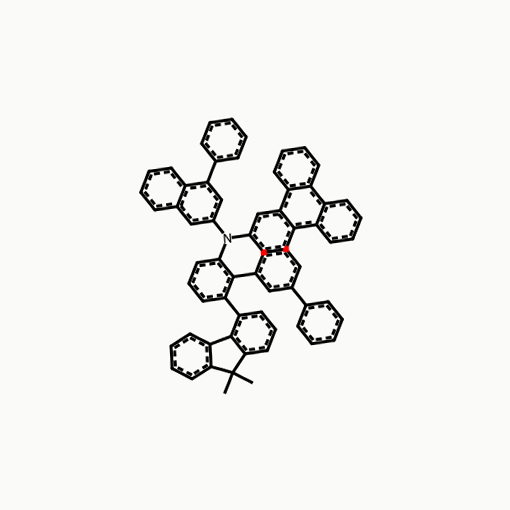 CC1(C)c2ccccc2-c2c(-c3cccc(N(c4cc(-c5ccccc5)c5ccccc5c4)c4ccc5c6ccccc6c6ccccc6c5c4)c3-c3cccc(-c4ccccc4)c3)cccc21